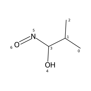 CC(C)C(O)N=O